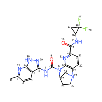 Cc1ccc2c(NC(=O)N3c4nc(C(=O)NC5CC5(F)F)ccc4N4CCC3C4)n[nH]c2n1